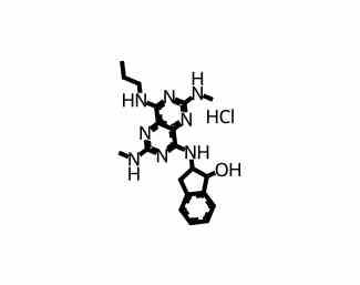 CCCNc1nc(NC)nc2c(NC3Cc4ccccc4C3O)nc(NC)nc12.Cl